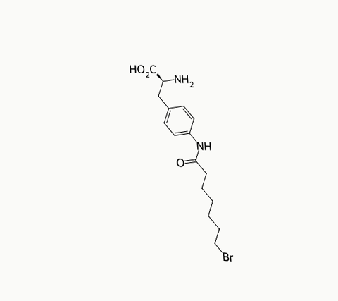 N[C@@H](Cc1ccc(NC(=O)CCCCCCBr)cc1)C(=O)O